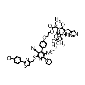 [C-]#[N+]c1c(N2CCCC2)nc(SCc2csc(-c3ccc(Cl)cc3)n2)c(C#N)c1-c1ccc(OCCOC(=O)[C@H](C)NC(=O)[C@H](Cc2cnc[nH]2)NC(=O)OC(C)(C)C)cc1